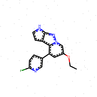 CCOc1cc(-c2ccc(F)nc2)c2c3cc[nH]c3nn2c1